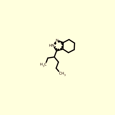 CCCC(CC)c1[nH]nc2c1CCCC2